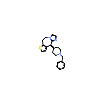 c1ccc(CN2CCC(=C3c4ccsc4CCn4ccnc43)CC2)cc1